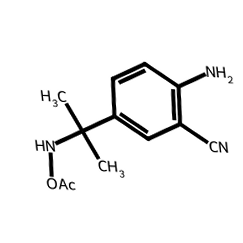 CC(=O)ONC(C)(C)c1ccc(N)c(C#N)c1